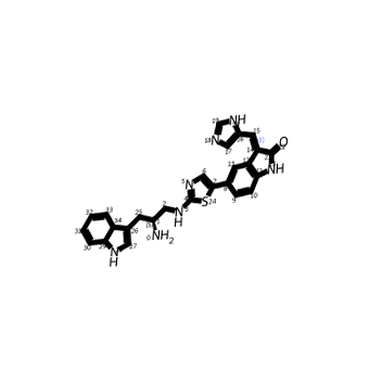 N[C@H](CNc1ncc(-c2ccc3c(c2)/C(=C\c2cnc[nH]2)C(=O)N3)s1)CC1=CNC2C=CC=CC12